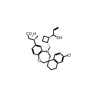 C=CC(O)[C@@H]1CC[C@H]1CN1C[C@@]2(CCCc3cc(Cl)ccc32)COc2ccc([C@H](C)CC(=O)O)cc21